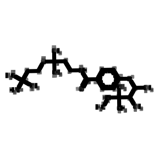 CNC(C)(C)C(C)C(C)Oc1ccc(C(=O)NCCC(C)(C)OCCC(C)(C)N)cc1